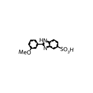 COc1cccc(-c2nc3cc(S(=O)(=O)O)ccc3[nH]2)c1